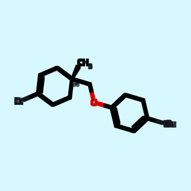 CCC1=CC[C@](C)(COC2=CC=C(C(C)(C)C)CC2)CC1